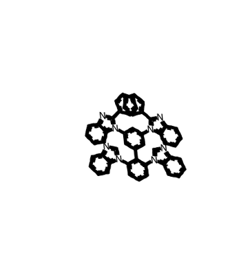 c1ccc(-c2nc3ccccc3n2-c2cc(-c3c(-n4cnc5ccccc54)cccc3-n3cnc4ccccc43)cc(-n3c(-c4ccccc4)nc4ccccc43)c2)cc1